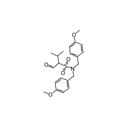 COc1ccc(CN(Cc2ccc(OC)cc2)S(=O)(=O)C(C=O)C(C)C)cc1